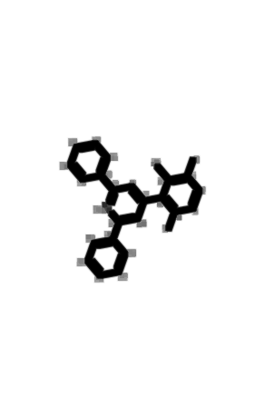 Cc1ccc(C)c(-c2cc(-c3ccccc3)nc(-c3ccccc3)c2)c1C